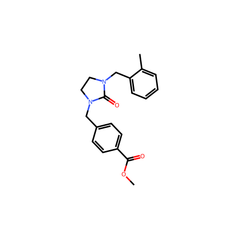 COC(=O)c1ccc(CN2CCN(Cc3ccccc3C)C2=O)cc1